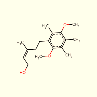 COc1c(C)c(C)c(OC)c(CC/C(C)=C\CO)c1C